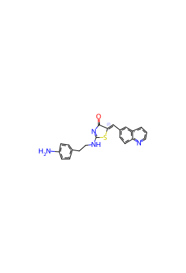 Nc1ccc(CCNC2=NC(=O)/C(=C/c3ccc4ncccc4c3)S2)cc1